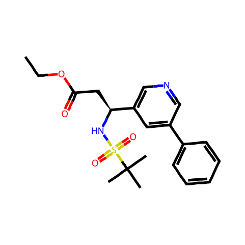 CCOC(=O)C[C@H](NS(=O)(=O)C(C)(C)C)c1cncc(-c2ccccc2)c1